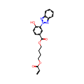 C=CC(=O)OCCCCOC(=O)c1ccc(O)c(-n2nc3ccccc3n2)c1